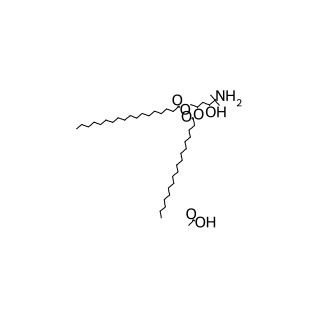 CC(=O)O.CCCCCCCCCCCCCCCCCC(=O)OCC(CC(O)C(C)(C)N)OC(=O)CCCCCCCCCCCCCCCCC